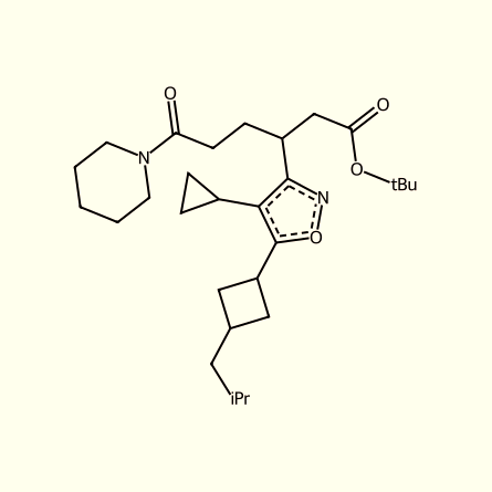 CC(C)CC1CC(c2onc(C(CCC(=O)N3CCCCC3)CC(=O)OC(C)(C)C)c2C2CC2)C1